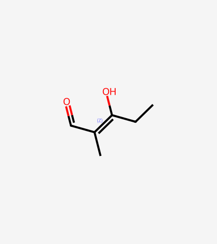 CC/C(O)=C(\C)C=O